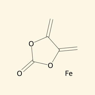 C=c1oc(=O)oc1=C.[Fe]